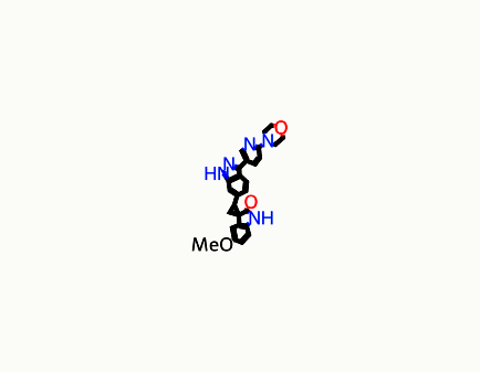 COc1ccc2c(c1)C1(CC1c1ccc3c(-c4ccc(N5CCOCC5)nc4)n[nH]c3c1)C(=O)N2